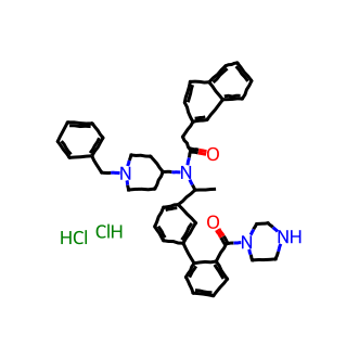 CC(c1cccc(-c2ccccc2C(=O)N2CCNCC2)c1)N(C(=O)Cc1ccc2ccccc2c1)C1CCN(Cc2ccccc2)CC1.Cl.Cl